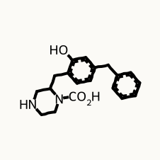 O=C(O)N1CCNCC1Cc1ccc(Cc2ccccc2)cc1O